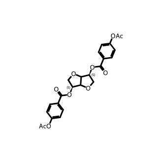 CC(=O)Oc1ccc(C(=O)O[C@H]2COC3C2OC[C@@H]3OC(=O)c2ccc(OC(C)=O)cc2)cc1